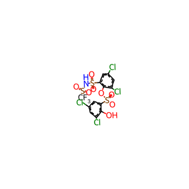 O=S(=O)(NS(=O)(=O)C(F)(F)F)c1cc(Cl)cc(Cl)c1OS(=O)(=O)c1cc(Cl)cc(Cl)c1O